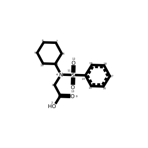 O=C(O)CN(C1CCCCC1)S(=O)(=O)c1ccccc1